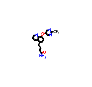 NC(=O)C=CCc1ccc(Oc2cnc(C(F)(F)F)nc2)c2ncccc12